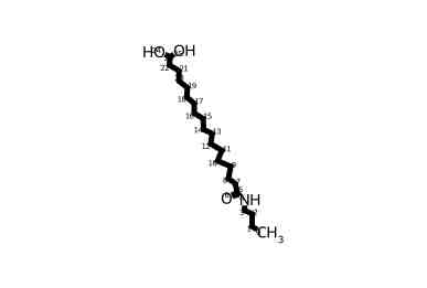 CCCCNC(=O)CCCCCCCCCCCCCCCCC(O)O